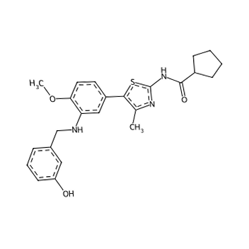 COc1ccc(-c2sc(NC(=O)C3CCCC3)nc2C)cc1NCc1cccc(O)c1